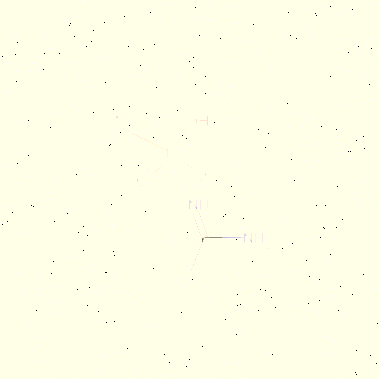 CC(=N)N.O=P(O)(O)O